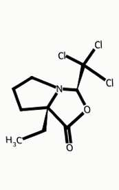 CC[C@@]12CCCN1[C@@H](C(Cl)(Cl)Cl)OC2=O